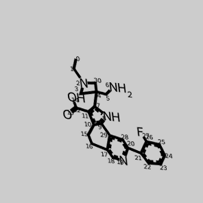 CCN1CC(CN)(c2[nH]c3c(c2C(=O)O)CCc2cnc(-c4ccccc4F)cc2-3)C1